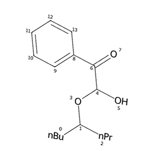 CCCCC(CCC)OC(O)C(=O)c1ccccc1